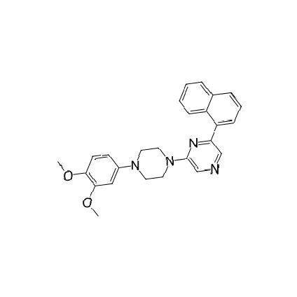 COc1ccc(N2CCN(c3cncc(-c4cccc5ccccc45)n3)CC2)cc1OC